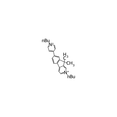 CCCC[n+]1ccc(-c2ccc3c(c2)C(C)(C)c2c[n+](CCCC)ccc2-3)cc1